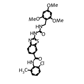 COc1cc(OC)c(CNC(=O)Nc2nc3ccc(C(=O)Nc4c(C)cccc4Cl)cc3s2)c(OC)c1